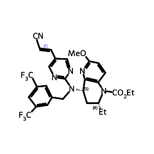 CCOC(=O)N1c2ccc(OC)nc2[C@@H](N(Cc2cc(C(F)(F)F)cc(C(F)(F)F)c2)c2ncc(/C=C/C#N)cn2)C[C@H]1CC